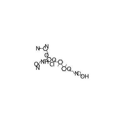 Cc1c(COc2cc(OCc3cncc(C#N)c3)c(CNCc3cnco3)cc2Cl)cccc1-c1cccc(OCCCN2CC[C@@H](O)C2)c1C